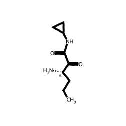 CCC[C@H](N)C(=O)C(=O)NC1CC1